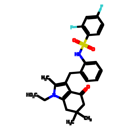 Cc1c(Cc2ccccc2NS(=O)(=O)c2ccc(F)cc2F)c2c(n1CC(=O)O)CC(C)(C)CC2=O